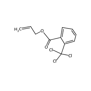 C=CCOC(=O)c1ccccc1C(Cl)(Cl)Cl